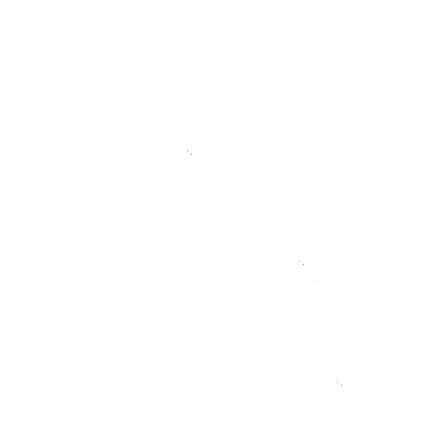 O=C(/C=C\c1cccnc1)NCCCC1CCN(C(c2ccccc2)c2ccccc2)CC1